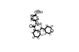 CC(C)(C)c1nnc(NC(=O)[C@@H]2CCCCN2CC2CCOCC2)s1